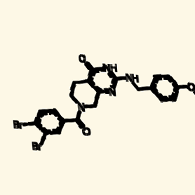 COc1ccc(CNc2nc3c(c(=O)[nH]2)CCN(C(=O)c2ccc(Br)c(Br)c2)C3)cc1